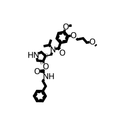 COCCCOc1cc(C(=O)N(C[C@@H]2CNC[C@H]2OC(=O)NCCc2ccccc2)C(C)C)ccc1OC